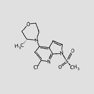 C[C@@H]1COCCN1c1cc(Cl)nc2c1ccn2S(C)(=O)=O